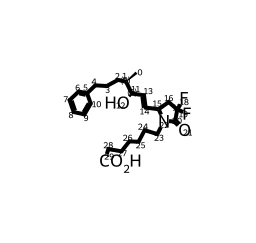 C[C@H](CCCc1ccccc1)[C@H](O)C=CC1CC(F)(F)C(=O)N1CCCCCCC(=O)O